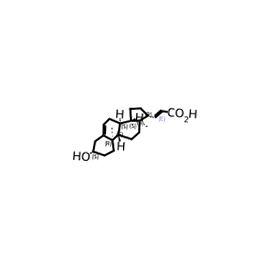 C[C@]12CC[C@H]3[C@@H](CC=C4C[C@@H](O)CC[C@@]43C)[C@@H]1CC[C@@H]2/C=C/C(=O)O